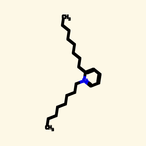 CCCCCCCCc1cccc[n+]1CCCCCCCC